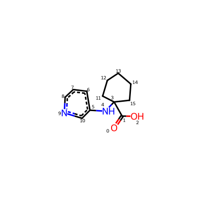 O=C(O)C1(Nc2cccnc2)CCCCC1